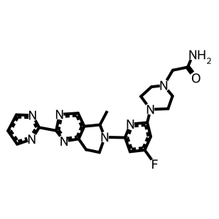 CC1c2cnc(-c3ncccn3)nc2CCN1c1cc(F)cc(N2CCN(CC(N)=O)CC2)n1